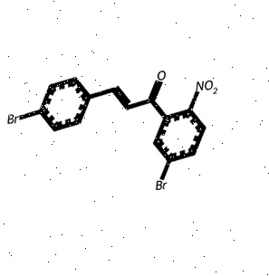 O=C(/C=C/c1ccc(Br)cc1)c1cc(Br)ccc1[N+](=O)[O-]